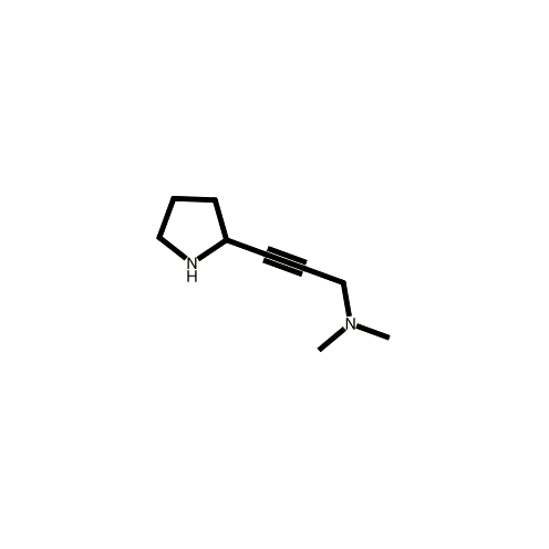 CN(C)CC#CC1CCCN1